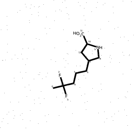 CC(F)(F)CCCC1CNC(C(=O)O)C1